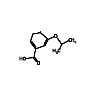 CC(C)OC1=CC(C(=O)O)=CC[CH]1